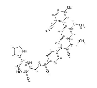 CCC(C(=O)Nc1ccc(C(=O)OC[C@H](NC(=O)C2CCCN2)C(=O)O)cc1)n1cc(OC)c(-c2cc(Cl)ccc2C#N)cc1=O